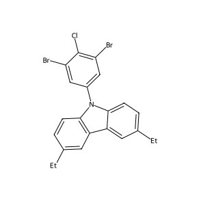 CCc1ccc2c(c1)c1cc(CC)ccc1n2-c1cc(Br)c(Cl)c(Br)c1